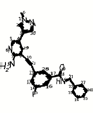 Cn1cc(-c2cnc(N)c(C#Cc3cc(F)cc(C(=O)NCc4ccccc4)c3)c2)cn1